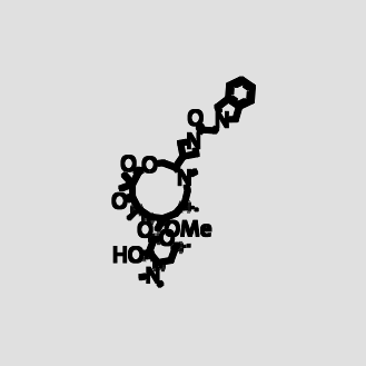 CO[C@]1(C)C[C@@H](C)CN(C)C(C2CN(C(=O)CN3Cc4ccccc4C3)C2)COC(=O)C(C)(C)C(=O)[C@H](C)[C@H]1O[C@@H]1O[C@H](C)C[C@H](N(C)C)[C@H]1O